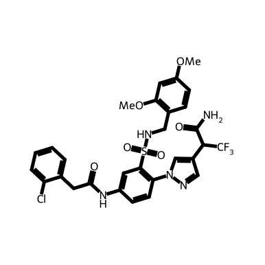 COc1ccc(CNS(=O)(=O)c2cc(NC(=O)Cc3ccccc3Cl)ccc2-n2cc(C(C(N)=O)C(F)(F)F)cn2)c(OC)c1